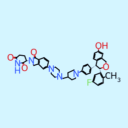 Cc1ccc(F)cc1[C@H]1OCc2cc(O)ccc2[C@H]1c1ccc(N2CCC(CN3CCN(c4ccc5c(c4)CN([C@H]4CCC(=O)NC4=O)C5=O)CC3)CC2)cc1